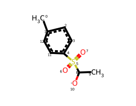 Cc1ccc(S(=O)(=O)C(C)[O])cc1